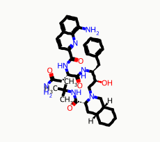 CC(C)(C)NC(=O)[C@H]1C[C@H]2CCCC[C@H]2CN1C[C@H](O)[C@H](Cc1ccccc1)NC(=O)[C@H](CC(N)=O)NC(=O)c1ccc2cccc(N)c2n1